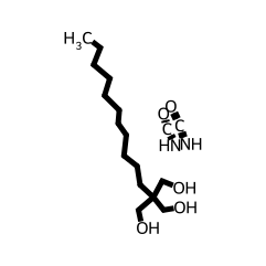 CCCCCCCCCCCC(CO)(CO)CO.N=C=O.N=C=O